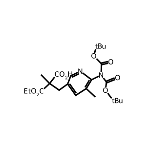 CCOC(=O)C(C)(Cc1cnc(N(C(=O)OC(C)(C)C)C(=O)OC(C)(C)C)c(C)c1)C(=O)O